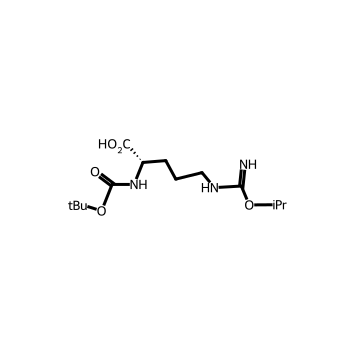 CC(C)OC(=N)NCCC[C@H](NC(=O)OC(C)(C)C)C(=O)O